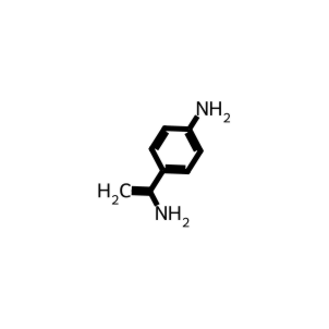 C=C(N)c1ccc(N)cc1